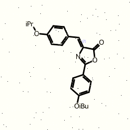 CC(C)COc1ccc(C2=N/C(=C\c3ccc(OC(C)C)cc3)C(=O)O2)cc1